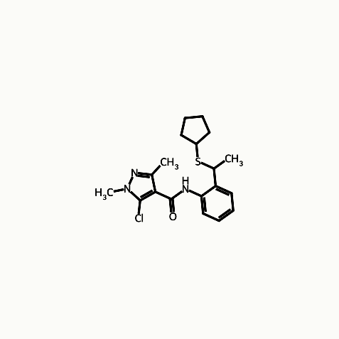 Cc1nn(C)c(Cl)c1C(=O)Nc1ccccc1C(C)SC1CCCC1